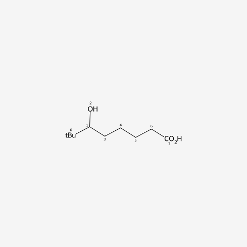 CC(C)(C)C(O)CCCCC(=O)O